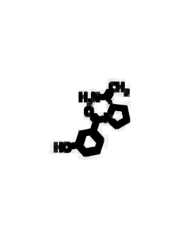 C=C(N)[C@@H]1CCCN1C(=O)c1cccc(O)c1